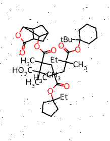 CCC1(OC(=O)C(C)(CC(C)(CC)C(=O)OC2(C(C)(C)C)CCCCC2)CC(C)(C(=O)OC2C3CC4C(=O)OC2C4C3)C(C)(C)C(=O)O)CCCC1